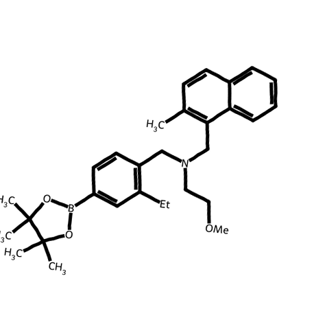 CCc1cc(B2OC(C)(C)C(C)(C)O2)ccc1CN(CCOC)Cc1c(C)ccc2ccccc12